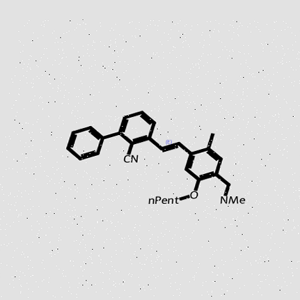 CCCCCOc1cc(/C=C/c2cccc(-c3ccccc3)c2C#N)c(C)cc1CNC